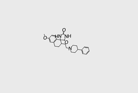 COc1ccc2c(c1)CCC(CCN1CCC(c3ccccc3)CC1)C21NC(=O)NC1=O